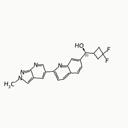 Cn1cc2cc(-c3ccc4ccc([C@@H](O)C5CC(F)(F)C5)cc4n3)cnc2n1